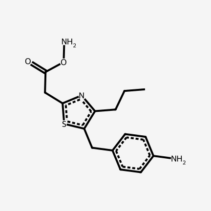 CCCc1nc(CC(=O)ON)sc1Cc1ccc(N)cc1